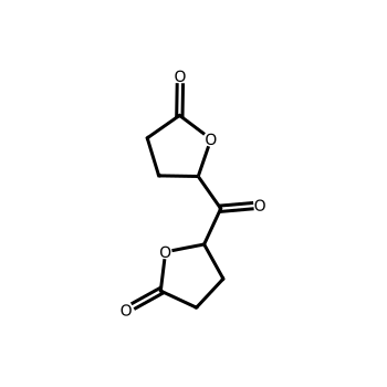 O=C1CCC(C(=O)C2CCC(=O)O2)O1